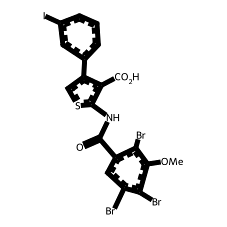 COc1c(Br)c(Br)cc(C(=O)Nc2scc(-c3cccc(I)c3)c2C(=O)O)c1Br